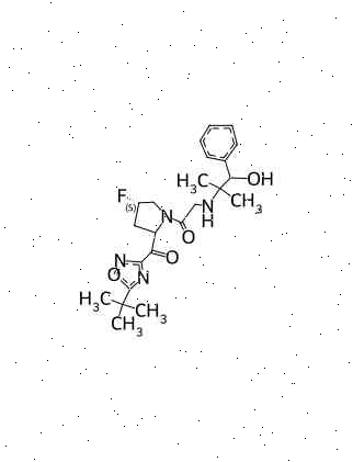 CC(C)(C)c1nc(C(=O)C2C[C@H](F)CN2C(=O)CNC(C)(C)C(O)c2ccccc2)no1